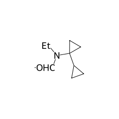 CCN([C]=O)C1(C2CC2)CC1